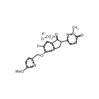 COc1ccc(COc2cc3c(cc2F)C(=O)N(c2ccc(=O)n(C)n2)C3)nc1.O=C([O-])O.[K+]